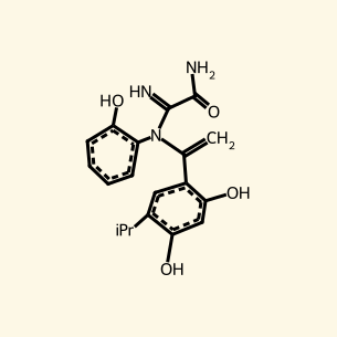 C=C(c1cc(C(C)C)c(O)cc1O)N(C(=N)C(N)=O)c1ccccc1O